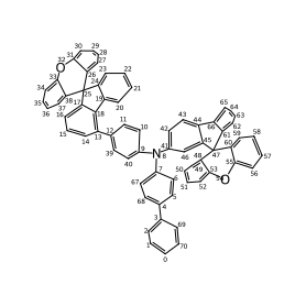 c1ccc(-c2ccc(N(c3ccc(-c4cccc5c4-c4ccccc4C54c5ccccc5Oc5ccccc54)cc3)c3ccc4c(c3)C3(c5ccccc5Oc5ccccc53)c3ccccc3-4)cc2)cc1